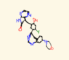 O=C1Nc2nccnc2C1c1cc(-c2ncnc3cc(N4CCOCC4)ccc23)c(F)cc1O